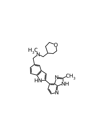 Cc1nc2c(-c3cc4cc(CN(C)CC5CCOCC5)ccc4[nH]3)ccnc2[nH]1